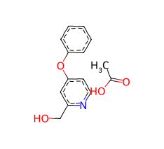 CC(=O)O.OCc1cc(Oc2ccccc2)ccn1